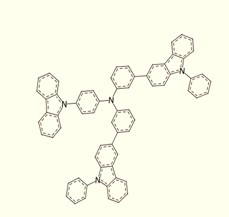 c1ccc(-n2c3ccccc3c3cc(-c4cccc(N(c5ccc(-n6c7ccccc7c7ccccc76)cc5)c5cccc(-c6ccc7c(c6)c6ccccc6n7-c6ccccc6)c5)c4)ccc32)cc1